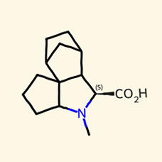 CN1C2CCCC23C2CCC(C2)C3[C@H]1C(=O)O